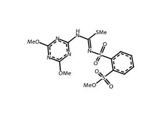 COc1nc(NC(=NS(=O)(=O)c2ccccc2S(=O)(=O)OC)SC)nc(OC)n1